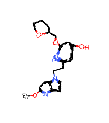 CCOc1ccc2c(ccn2CCc2cc(O)cc(OCC3CCCCO3)n2)n1